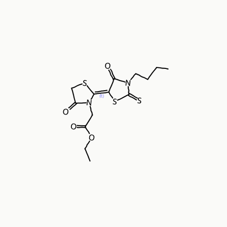 CCCCN1C(=O)/C(=C2\SCC(=O)N2CC(=O)OCC)SC1=S